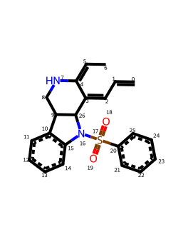 C=C/C=C1\C(=C/C)NCC2c3ccccc3N(S(=O)(=O)c3ccccc3)C12